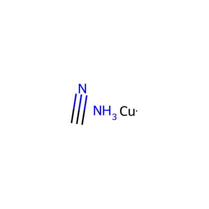 C#N.N.[Cu]